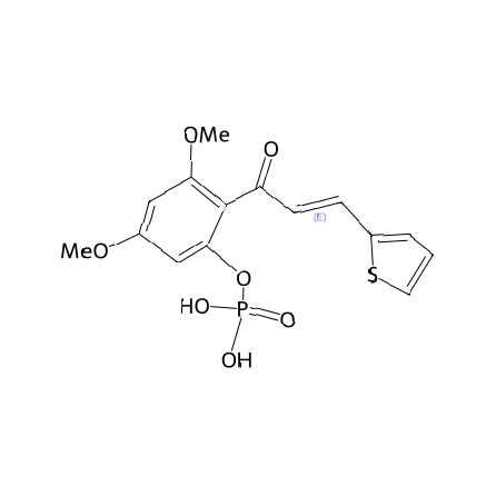 COc1cc(OC)c(C(=O)/C=C/c2cccs2)c(OP(=O)(O)O)c1